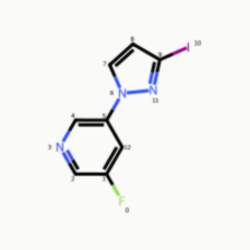 Fc1cncc(-n2ccc(I)n2)c1